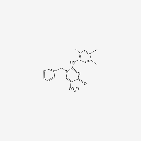 CCOC(=O)c1cn(Cc2ccccc2)c(Nc2cc(C)c(C)cc2C)nc1=O